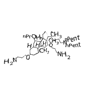 CCCCCN(CCCCC)CCC[C@@H](C)[C@H]1CC[C@H]2[C@@H]3[C@H](OCCC)C[C@@H]4C[C@H](OCCCN)CC[C@]4(C)[C@H]3C[C@H](OCCCN)[C@]12C